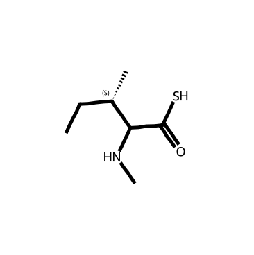 CC[C@H](C)C(NC)C(=O)S